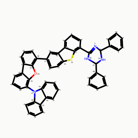 c1ccc(C2N=C(c3cccc4c3sc3ccc(-c5cccc6c5oc5c(-n7c8ccccc8c8ccccc87)cccc56)cc34)NC(c3ccccc3)N2)cc1